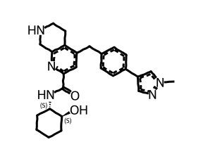 Cn1cc(-c2ccc(Cc3cc(C(=O)N[C@H]4CCCC[C@@H]4O)nc4c3CCNC4)cc2)cn1